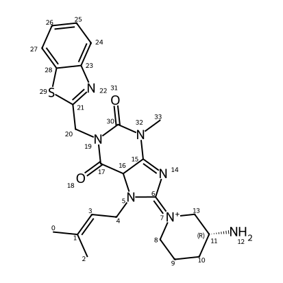 CC(C)=CCN1C(=[N+]2CCC[C@@H](N)C2)N=C2C1C(=O)N(Cc1nc3ccccc3s1)C(=O)N2C